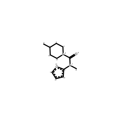 CC1CCN(C(=O)N(C)c2ccco2)CC1